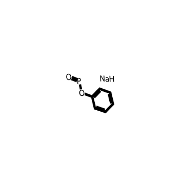 O=POc1ccccc1.[NaH]